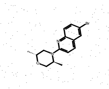 C[C@@H]1CN(c2ccc3cc(Br)ccc3n2)[C@@H](C)CO1